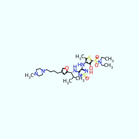 CCN(CC)S(=O)(=O)c1sc(C)c(Nc2n[s+]([O-])nc2N[C@@H](c2cc(CCCCN3CCN(C)CC3)co2)C(C)C)c1O